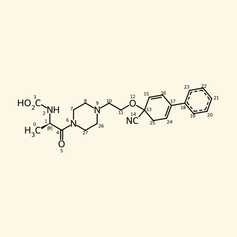 C[C@@H](NC(=O)O)C(=O)N1CCN(CCOC2(C#N)C=CC(c3ccccc3)=CC2)CC1